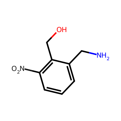 NCc1cccc([N+](=O)[O-])c1CO